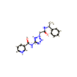 CC(NC(=O)Cn1nnc(NC(=O)c2cccnc2)n1)c1ccccc1